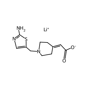 Nc1ncc(CN2CCC(=CC(=O)[O-])CC2)s1.[Li+]